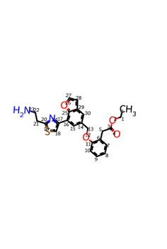 CCOC(=O)Cc1ccccc1OCc1cc(-c2csc(CCN)n2)c2occc2c1